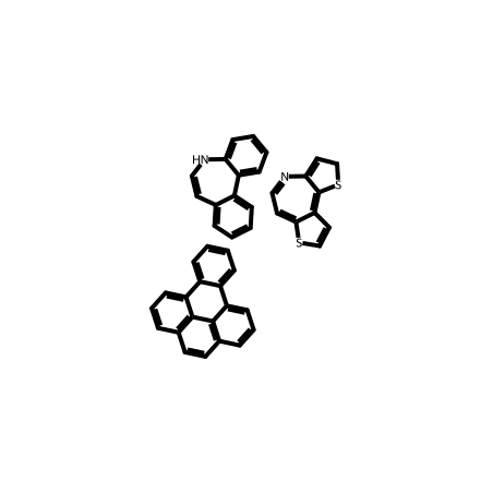 C1=Cc2ccccc2-c2ccccc2N1.C1=NC2=CCSC2=c2ccsc2=C1.c1ccc2c(c1)c1cccc3ccc4cccc2c4c31